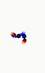 c1cc(-c2ccc3ncn(-c4ccc(CN5CCOCC5)cc4)c3c2)co1